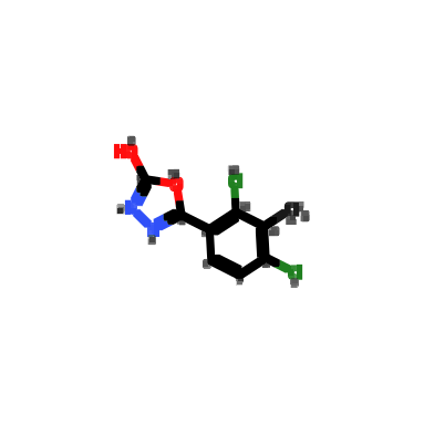 Oc1nnc(-c2ccc(Cl)c(C(F)(F)F)c2Cl)o1